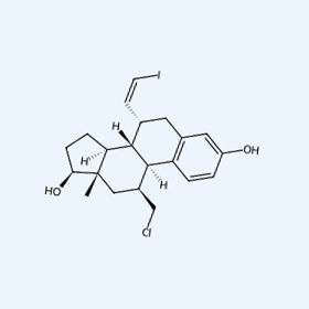 C[C@]12C[C@H](CCl)[C@@H]3c4ccc(O)cc4C[C@@H](/C=C\I)[C@H]3[C@@H]1CC[C@@H]2O